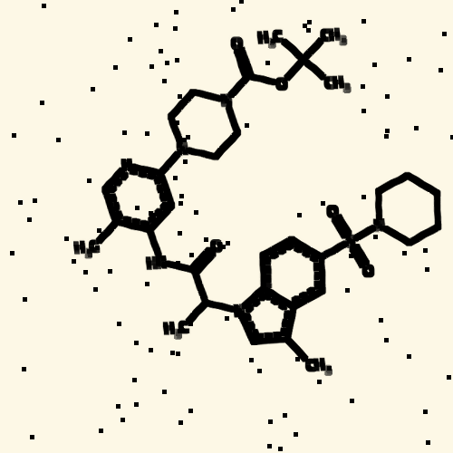 Cc1cnc(N2CCN(C(=O)OC(C)(C)C)CC2)cc1NC(=O)C(C)n1cc(C)c2cc(S(=O)(=O)N3CCCCC3)ccc21